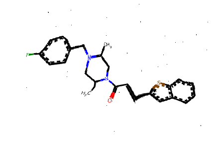 CC1CN(C(=O)/C=C/c2cc3ccccc3s2)C(C)CN1Cc1ccc(F)cc1